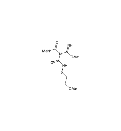 CNC(=O)N(C(=N)OC)C(=O)NSCCOC